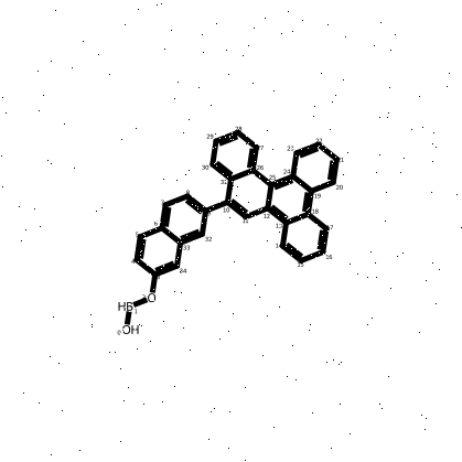 OBOc1ccc2ccc(-c3cc4c5ccccc5c5ccccc5c4c4ccccc34)cc2c1